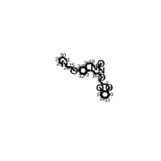 O=c1nc(OCC2COc3ccccc3O2)cc2n1CCc1cc(OCCN3CCCC3)ccc1-2